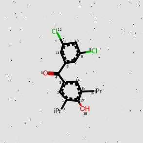 CC(C)c1cc(C(=O)c2cc(Cl)cc(Cl)c2)cc(C(C)C)c1O